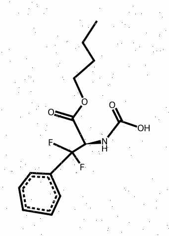 CCCCOC(=O)[C@@H](NC(=O)O)C(F)(F)c1ccccc1